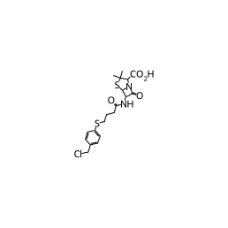 CC1(C)SC2C(NC(=O)CCCSc3ccc(CCl)cc3)C(=O)N2C1C(=O)O